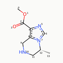 COC(=O)c1ncn2c1CNC[C@H]2C